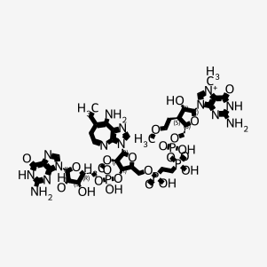 CCC1=C(N)c2ncn([C@@H]3OC(COP(=O)(O)CCP(=O)(O)OP(=O)(O)OC[C@H]4O[C@@H](n5c[n+](C)c6c(=O)[nH]c(N)nc65)[C@H](O)[C@@H]4CCOC)[C@@H](OP(=O)(O)OC[C@H]4O[C@@H](n5cnc6c(=O)[nH]c(N)nc65)[C@H](O)[C@@H]4O)[C@H]3OC)c2N=CC1